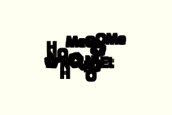 CCC1CC(=O)N(Cc2cccc(NC(=O)c3ccc[nH]3)c2)N=C1c1ccc(OC)c(OC)c1